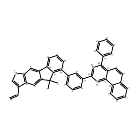 C=Cc1coc2cc3c(cc12)C(C)(C)c1c(-c2cccc(-c4nc(-c5ccccc5)c5ccc6ccccc6c5n4)c2)cccc1-3